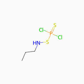 CCCNSP(=S)(Cl)Cl